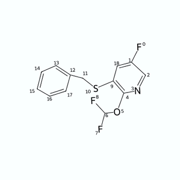 Fc1cnc(OC(F)F)c(SCc2ccccc2)c1